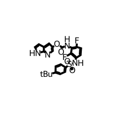 CC(C)(C)c1ccc(S(=O)(=O)Nc2ccc(F)c(NC(=O)Oc3cnc4[nH]ccc4c3)c2F)cc1